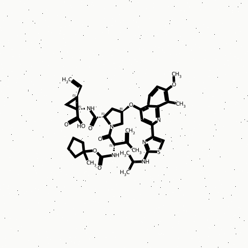 C=C[C@@H]1C[C@]1(NC(=O)[C@@H]1C[C@@H](Oc2cc(-c3csc(NC(C)C)n3)nc3c(C)c(OC)ccc23)CN1C(=O)[C@@H](NC(=O)OC1(C)CCCC1)C(=C)C)C(=O)O